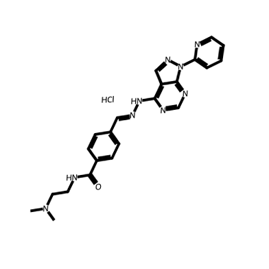 CN(C)CCNC(=O)c1ccc(C=NNc2ncnc3c2cnn3-c2ccccn2)cc1.Cl